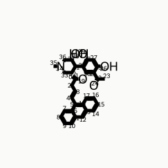 C=C(C/C=C/c1c2ccccc2cc2ccccc12)Oc1c(C(C)=O)c(O)cc(O)c1C1CCN(C)CC1O